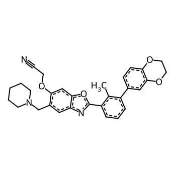 Cc1c(-c2ccc3c(c2)OCCO3)cccc1-c1nc2cc(CN3CCCCC3)c(OCC#N)cc2o1